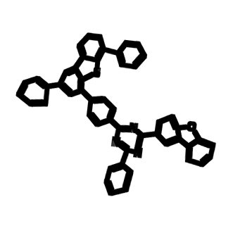 c1ccc(-c2cc(-c3ccc(-c4nc(-c5ccccc5)nc(-c5ccc6oc7ccccc7c6c5)n4)cc3)c3sc4c(-c5ccccc5)cccc4c3c2)cc1